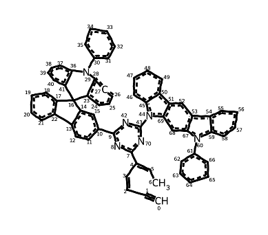 C#C/C=C\C(=C/C)c1nc(-c2ccc3c(c2)C2(c4ccccc4-3)c3ccccc3N(c3ccccc3)c3ccccc32)nc(-n2c3ccccc3c3cc4c5ccccc5n(-c5ccccc5)c4cc32)n1